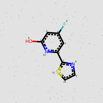 Oc1cc(F)cc(-c2nccs2)n1